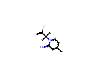 C=C(F)C(C)(C)n1ccc(C)cc1=N